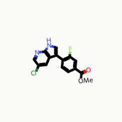 COC(=O)c1ccc(-c2c[nH]c3ncc(Cl)cc23)c(F)c1